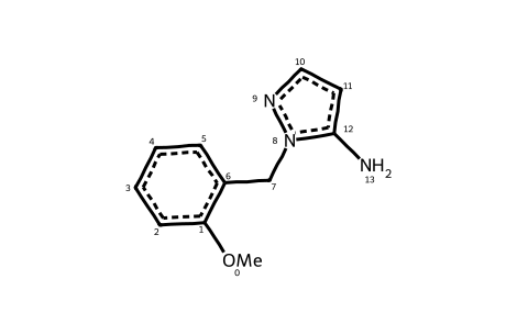 COc1ccccc1Cn1nccc1N